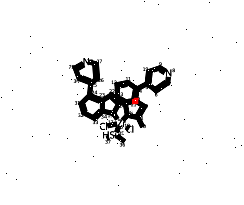 CC1=Cc2c(-c3ccncc3)cccc2[CH]1[Zr]([Cl])([Cl])([CH]1C(C)=Cc2c(-c3ccncc3)cccc21)[SiH](C)C